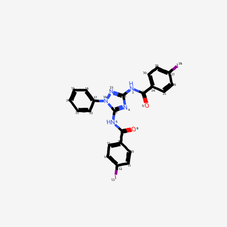 O=C(Nc1nc(NC(=O)c2ccc(I)cc2)n(-c2ccccc2)n1)c1ccc(I)cc1